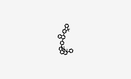 CC1(C)c2ccccc2-c2ccc(-c3ccc(-c4ccc(-c5ccc6ccc7ccc(-c8ccccc8)nc7c6n5)cc4)c4ccccc34)cc21